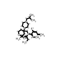 C=C/C=C(F)\C(=N/C)N(CC1(N2CCN(CC(C)C)CC2)CCOC(C)(C)C1)C(=O)CC